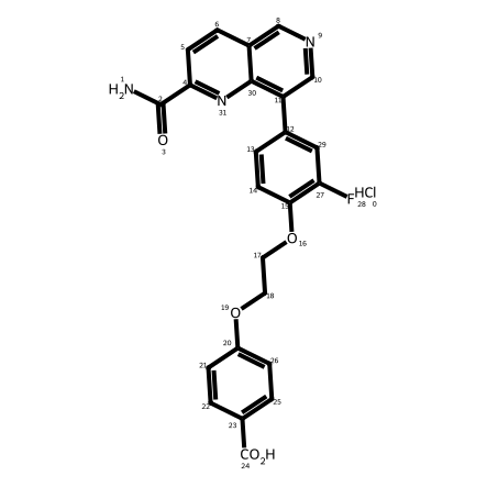 Cl.NC(=O)c1ccc2cncc(-c3ccc(OCCOc4ccc(C(=O)O)cc4)c(F)c3)c2n1